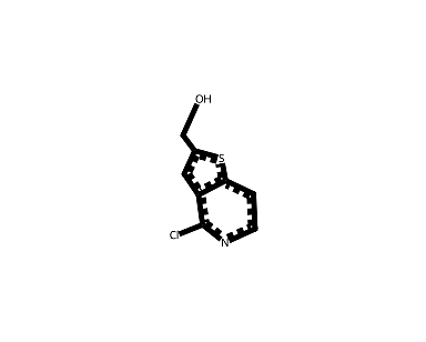 OCc1cc2c(Cl)nccc2s1